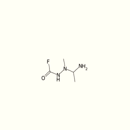 CC(N)N(C)NC(=O)F